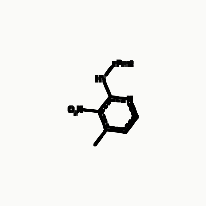 CCCCCNc1nccc(C)c1[N+](=O)[O-]